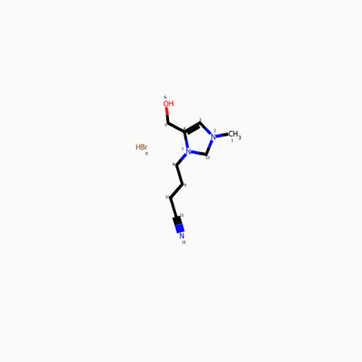 Br.CN1C=C(CO)N(CCCC#N)C1